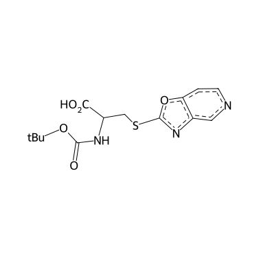 CC(C)(C)OC(=O)NC(CSc1nc2cnccc2o1)C(=O)O